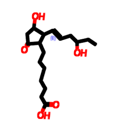 CCC(O)C/C=C/C1C(O)CC(=O)C1CCCCCCC(=O)O